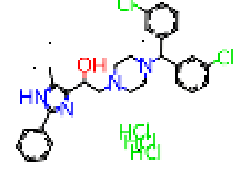 Cc1[nH]c(-c2ccccc2)nc1C(O)CN1CCN(C(c2cccc(Cl)c2)c2cccc(Cl)c2)CC1.Cl.Cl.Cl